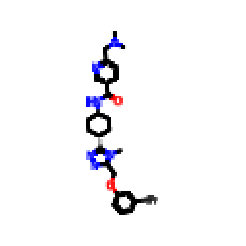 CC(C)c1cccc(OCc2nnc([C@H]3CC[C@H](NC(=O)c4ccc(CN(C)C)nc4)CC3)n2C)c1